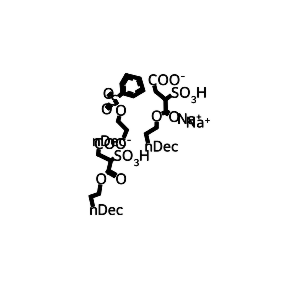 CCCCCCCCCCCCOC(=O)C(CC(=O)[O-])S(=O)(=O)O.CCCCCCCCCCCCOC(=O)C(CC(=O)[O-])S(=O)(=O)O.CCCCCCCCCCCCOS(=O)(=O)c1ccccc1.[Na+].[Na+]